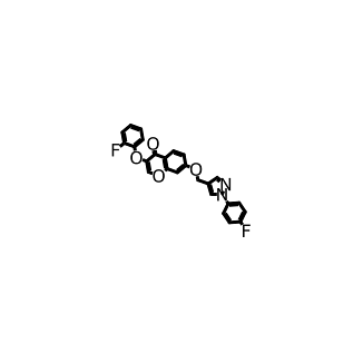 O=c1c(Oc2ccccc2F)coc2cc(OCc3cnn(-c4ccc(F)cc4)c3)ccc12